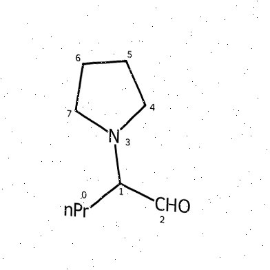 CCCC(C=O)N1CCCC1